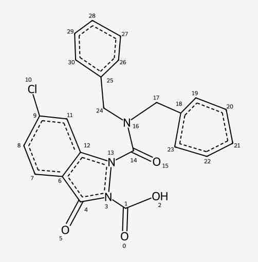 O=C(O)n1c(=O)c2ccc(Cl)cc2n1C(=O)N(Cc1ccccc1)Cc1ccccc1